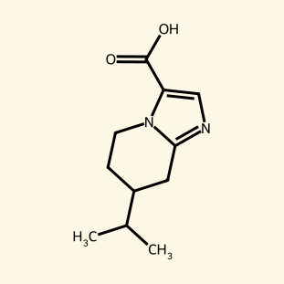 CC(C)C1CCn2c(C(=O)O)cnc2C1